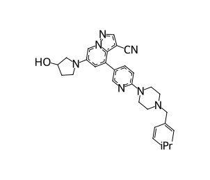 C/C=C(\C=C/C(C)C)CN1CCN(c2ccc(-c3cc(N4CCC(O)C4)cn4ncc(C#N)c34)cn2)CC1